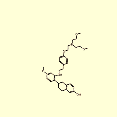 COCCN(CCOC)CCOc1ccc(CCNc2cc(OC)ccc2C2CCc3cc(O)ccc3C2)cc1